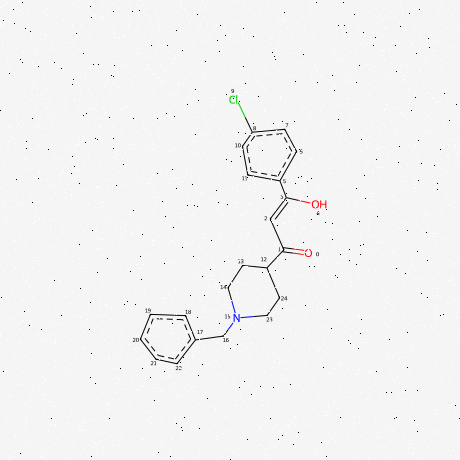 O=C(C=C(O)c1ccc(Cl)cc1)C1CCN(Cc2ccccc2)CC1